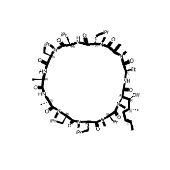 C=C1C(=O)N(C)[C@@H](CC(C)C)C(=O)N[C@H](C(C)C)C(=O)N(C)[C@H](CC(C)C)C(=O)N[C@H](C)C(=O)N[C@@H](C)C(=O)N(C)[C@H](CC(C)C)C(=O)N(C)[C@H](CC(C)C)C(=O)N(C)[C@H](C(C)C)C(=O)N(C)[C@H]([C@H](O)[C@H](C)C/C=C/C)C(=O)N[C@H](CC)C(=O)N1C